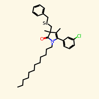 CCCCCCCCCCCCN1C(=O)C(C)(C[Se]Cc2ccccc2)C(C)=C1c1cccc(Cl)c1